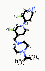 CC(C)N1CCN(CC2CCN(C3CCNCC3F)CC2F)CC1